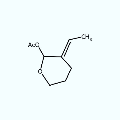 CC=C1CCCOC1OC(C)=O